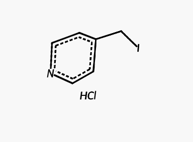 Cl.ICc1ccncc1